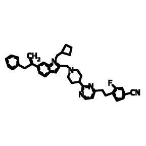 C=C(Cc1ccccc1)c1ccc2cc(CN3CCC(c4nccc(CCc5ccc(C#N)cc5F)n4)CC3)n(CC3CCC3)c2c1